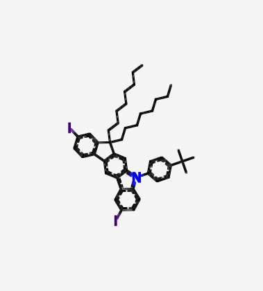 CCCCCCCCC1(CCCCCCCC)c2cc(I)ccc2-c2cc3c4cc(I)ccc4n(-c4ccc(C(C)(C)C)cc4)c3cc21